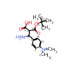 CN(C)c1ccc(C(N)C(C(=O)O)C(=O)OC(C)(C)C)cc1